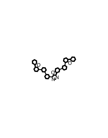 c1cc(-c2cccc(-c3ncnc4c3oc3ccc(-c5cccc(-c6cccc7c6oc6ccccc67)c5)cc34)c2)cc(-c2cccc3c2oc2ccccc23)c1